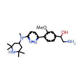 COc1cc(C(O)CN)ccc1-c1ccc(N(C)C2CC(C)(C)NC(C)(C)C2)nn1